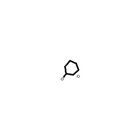 [O].[O]C1CCCCC1